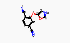 N#Cc1ccc(C#N)c(Oc2cn[c]o2)c1